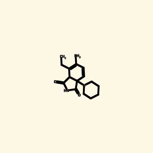 CCC1=C(N)C=CC2(N3CCCCC3)C(=O)NC(=O)C12